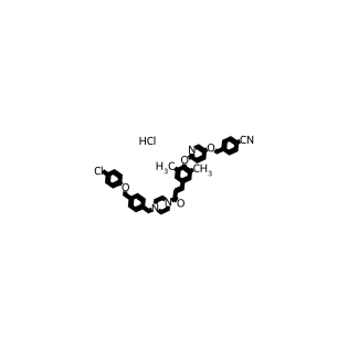 Cc1cc(/C=C/C(=O)N2CCN(Cc3ccc(COc4ccc(Cl)cc4)cc3)CC2)cc(C)c1Oc1ccc(OCc2ccc(C#N)cc2)cn1.Cl